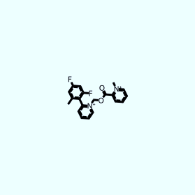 Cc1cc(F)cc(F)c1-c1cccc[n+]1COC(=O)c1cccc[n+]1C